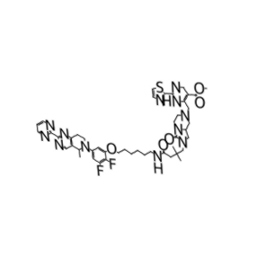 COC(=O)C1=C(CN2CCN3C(=O)N(CC(C)(C)CC(=O)NCCCCCCOc4cc(N5CCc6nc(-c7ncccn7)ncc6C5C)cc(F)c4F)CC3C2)NC(c2nccs2)=NC1